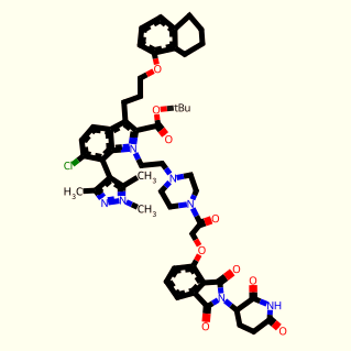 Cc1nn(C)c(C)c1-c1c(Cl)ccc2c(CCCOc3cccc4c3CCCC4)c(C(=O)OC(C)(C)C)n(CCN3CCN(C(=O)COc4cccc5c4C(=O)N(C4CCC(=O)NC4=O)C5=O)CC3)c12